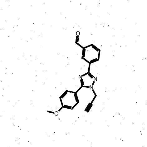 C#CCn1nc(-c2cccc(C=O)c2)nc1-c1ccc(OC)cc1